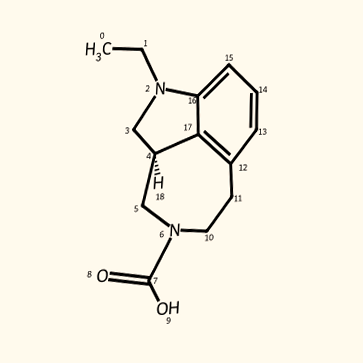 CCN1C[C@@H]2CN(C(=O)O)CCc3cccc1c32